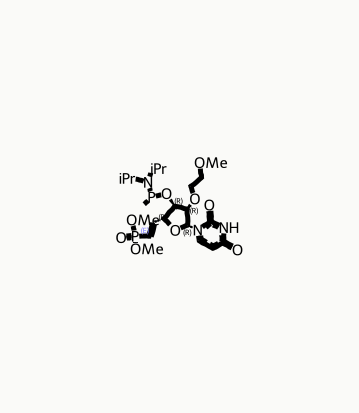 COCCO[C@@H]1[C@H](OP(C)N(C(C)C)C(C)C)[C@@H](/C=C/P(=O)(OC)OC)O[C@H]1n1ccc(=O)[nH]c1=O